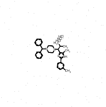 Cc1cccc(-c2nc(C(C(C)C)N3CCN(C(c4ccccc4)c4ccccc4)CC3)c(C)[nH]2)c1.Cl.Cl.Cl